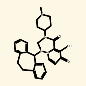 CN1CCC(N2CN(C3c4ccccc4CCc4ccccc43)n3ccc(=O)c(O)c3C2=O)CC1